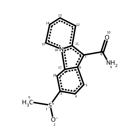 C[S+]([O-])c1ccc2c(C(N)=O)c3ccccn3c2c1